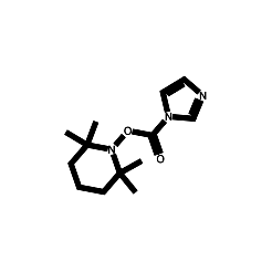 CC1(C)CCCC(C)(C)N1OC(=O)n1ccnc1